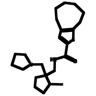 CC1CCCC1(CNC(=O)c1cc2c(s1)CCCCCC2)CN1CCCC1